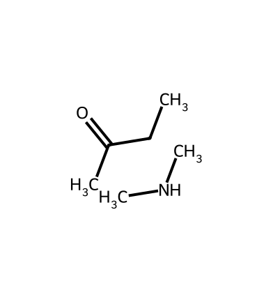 CCC(C)=O.CNC